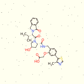 Cc1ncsc1-c1ccc(CNC(=O)[C@@H]2C[C@@H](O)CN2C(=O)[C@H](C(C)C)N2Cc3ccccc3C2=O)c(OCC(=O)O)c1